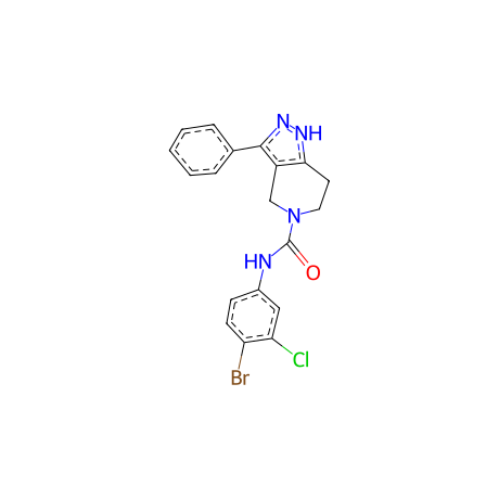 O=C(Nc1ccc(Br)c(Cl)c1)N1CCc2[nH]nc(-c3ccccc3)c2C1